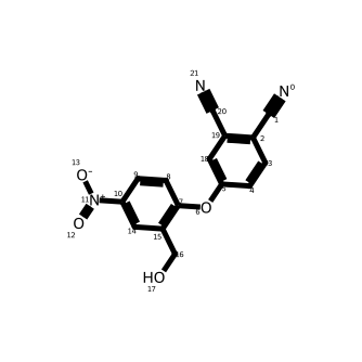 N#Cc1ccc(Oc2ccc([N+](=O)[O-])cc2CO)cc1C#N